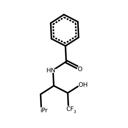 CC(C)CC(NC(=O)c1ccccc1)C(O)C(F)(F)F